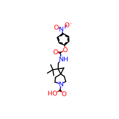 CC(C)(C)C1(CNC(=O)Oc2ccc([N+](=O)[O-])cc2)CC12CCN(C(=O)O)CC2